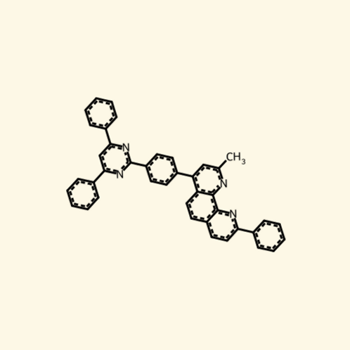 Cc1cc(-c2ccc(-c3nc(-c4ccccc4)cc(-c4ccccc4)n3)cc2)c2ccc3ccc(-c4ccccc4)nc3c2n1